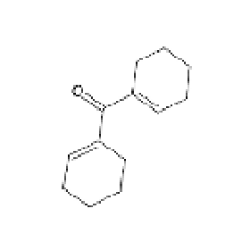 O=C(C1=CCCCC1)C1=CCCCC1